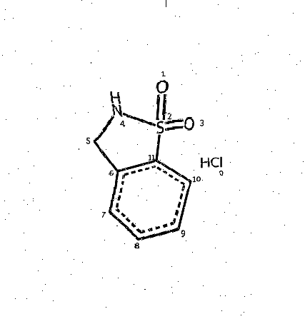 Cl.O=S1(=O)NCc2ccccc21